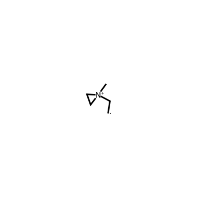 [CH2]C[N+]1(C)CC1